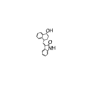 O=C1Nc2ccccc2C1=CC1CCC(O)c2ccccc21